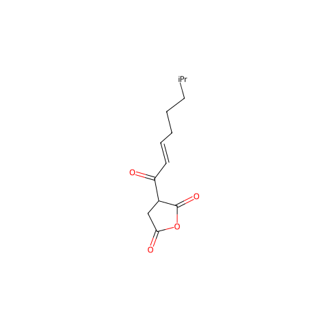 CC(C)CCCC=CC(=O)C1CC(=O)OC1=O